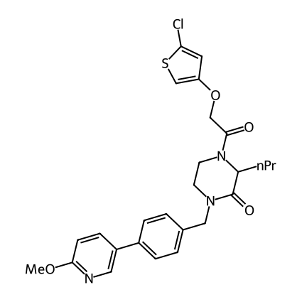 CCCC1C(=O)N(Cc2ccc(-c3ccc(OC)nc3)cc2)CCN1C(=O)COc1csc(Cl)c1